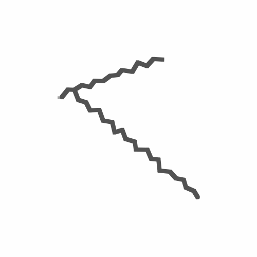 [CH2]CC(CCCCCCCCCCCC)CCCCCCCCCCCCCCCCCCCCC